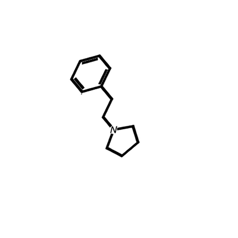 [c]1ccccc1CCN1CCCC1